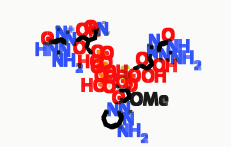 CO[C@@H]1[C@H](OP([O-])(=S)OC[C@H]2O[C@@H](n3cnc4c(=O)[nH]c(N)nc43)[C@H](O)[C@@H]2O)[C@@H](COP(=O)(O)OP(=O)(O)OP(=O)(O)OC[C@H]2O[C@@H](n3c[n+](C)c4c(=O)[nH]c(N)nc43)[C@H](O)C2CC(=O)N(C)C)O[C@H]1n1cnc2c1/N=C\CC/C=C\2N